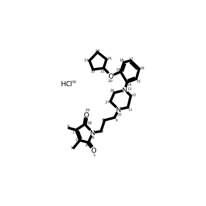 CC1=C(C)C(=O)N(CCCN2CCN(c3ccccc3OC3CCCC3)CC2)C1=O.Cl